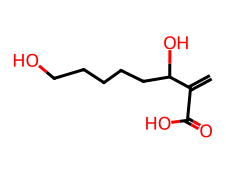 C=C(C(=O)O)C(O)CCCCCO